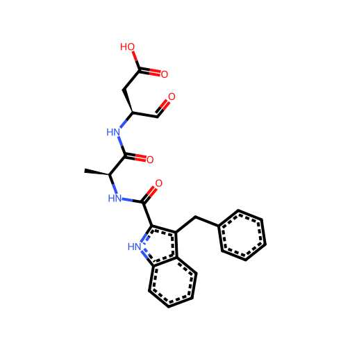 C[C@H](NC(=O)c1[nH]c2ccccc2c1Cc1ccccc1)C(=O)N[C@H](C=O)CC(=O)O